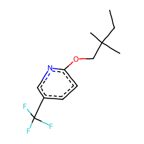 CCC(C)(C)COc1ccc(C(F)(F)F)cn1